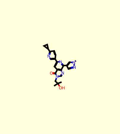 Cn1cc(-c2nc(-c3ccc(C4CC4)nc3)cc3c(=O)n(CC(C)(C)O)cnc23)cn1